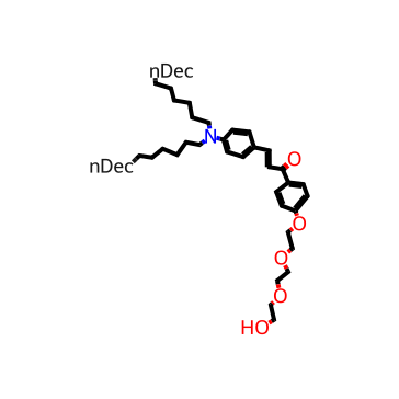 CCCCCCCCCCCCCCCCN(CCCCCCCCCCCCCCCC)c1ccc(C=CC(=O)c2ccc(OCCOCCOCCO)cc2)cc1